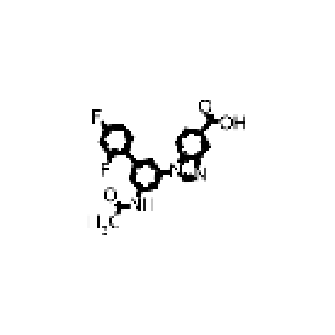 CC(=O)Nc1cc(-c2ccc(F)cc2F)cc(-n2cnc3cc(C(=O)O)ccc32)c1